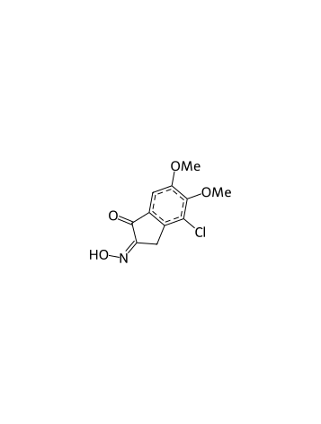 COc1cc2c(c(Cl)c1OC)CC(=NO)C2=O